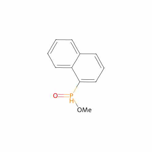 CO[PH](=O)c1cccc2ccccc12